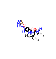 CC(C)CC(NC(=O)c1ccc(NC(=O)Nc2nncs2)cc1)C(=O)N(C)C#N